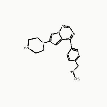 CNCc1ccc(-c2ncnn3cc(N4CCNCC4)cc23)cc1